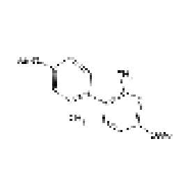 COc1ccc(-c2ccc(OC)cc2C)c(C)c1